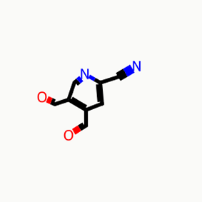 N#Cc1cc(C=O)c(C=O)cn1